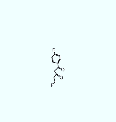 O=C(CCF)CC(=O)c1ccc(F)cc1